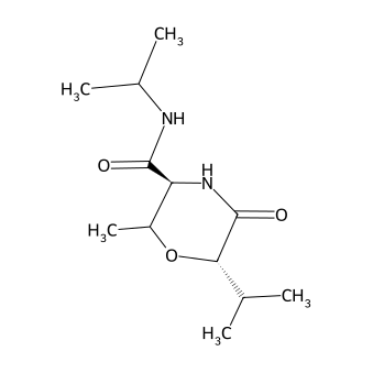 CC(C)NC(=O)[C@H]1NC(=O)[C@H](C(C)C)OC1C